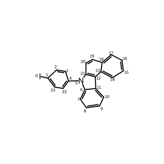 Ic1ccc(-n2c3ccccc3c3c4ccccc4ccc32)cc1